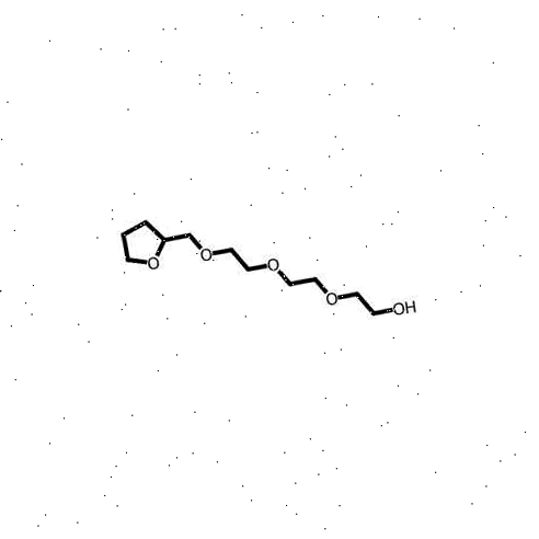 OCCOCCOCCOCC1CCCO1